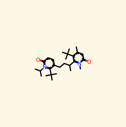 Cc1cc(=O)n(C)c(C(C)CCc2ccc(=O)n(C(C)C)c2C(C)(C)C)c1C(C)(C)C